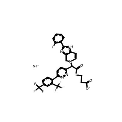 O=C([O-])CCOC(=O)C(c1ccc(-c2ccc(C(F)(F)F)cc2C(F)(F)F)nn1)N1C=Cc2[nH]c(-c3ccccc3F)nc2C1.[Na+]